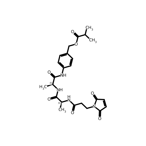 CC(C)C(=O)OCc1ccc(NC(=O)[C@H](C)NC(=O)[C@H](C)NC(=O)CCN2C(=O)C=CC2=O)cc1